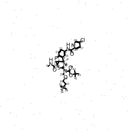 CNC(=O)[C@]12CC1[C@@](C)(c1cc(NC(=O)c3ccc(Cl)cn3)ccc1F)N=C(N(COCC[Si](C)(C)C)C(=O)OC(C)(C)C)S2